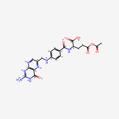 CC(=O)OC(=O)CCC(NC(=O)c1ccc(NCc2cnc3nc(N)[nH]c(=O)c3n2)cc1)C(=O)O